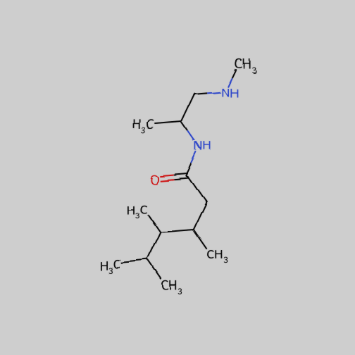 CNCC(C)NC(=O)CC(C)C(C)C(C)C